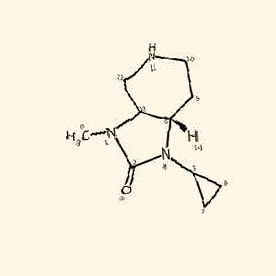 CN1C(=O)N(C2CC2)[C@H]2CCNCC21